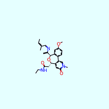 C=C(/N=C\C(C)=C/C)[C@@H]1O[C@@H](CC(=O)NCC)c2cc(=O)n(C)cc2-c2ccc(OC)cc21